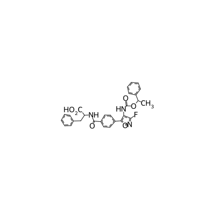 CC(OC(=O)Nc1c(F)noc1-c1ccc(C(=O)NC(Cc2ccccc2)C(=O)O)cc1)c1ccccc1